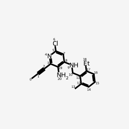 CC#Cc1nc(Cl)cc(NCc2c(C)cccc2CC)c1N